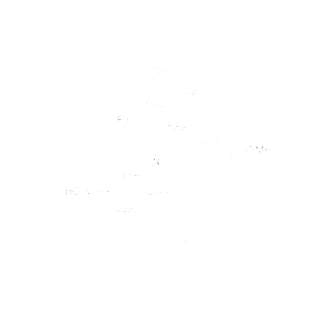 COc1ccc2c(c1)C=C(c1c(F)cccc1C(F)(F)F)Cn1c-2c(C2CCCCC2)c2ccc(C(=O)O)cc21